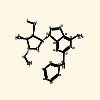 CO[C@@H]1[C@H](O)[C@@H](CO)O[C@H]1n1cnc2c(N)nc(Nc3ccccc3)nc21